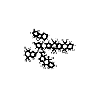 Cc1cc2c3c(c1)N(c1cccc4c1oc1ccccc14)c1cc4c(cc1B3c1sc3c5c(ccc3c1N2c1ccc2c(c1)C(C)(C)CCC2(C)C)C(C)(C)c1ccccc1C5(C)C)C(C)(C)c1cc2c(cc1C4(C)C)C(C)(C)c1ccccc1C2(C)C